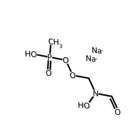 CP(=O)(O)OOCN(O)C=O.[Na].[Na]